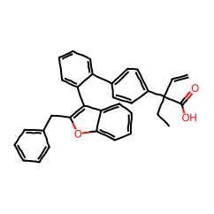 C=CC(CC)(C(=O)O)c1ccc(-c2ccccc2-c2c(Cc3ccccc3)oc3ccccc23)cc1